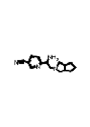 N#Cc1ccc(C(N)CN2CC3CCCC3C2)nc1